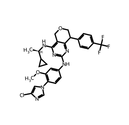 COc1cc(Nc2nc(N[C@H](C)C3CC3)c3c(n2)C(c2ccc(C(F)(F)F)cc2)COC3)ccc1-n1cnc(Cl)c1